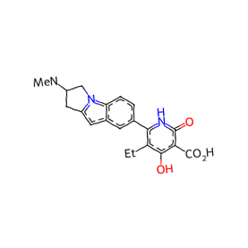 CCc1c(-c2ccc3c(c2)cc2n3CC(NC)C2)[nH]c(=O)c(C(=O)O)c1O